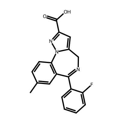 Cc1ccc2c(c1)C(c1ccccc1F)=NCc1cc(C(=O)O)nn1-2